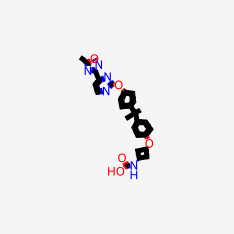 Cc1nc(-c2ccnc(Oc3ccc(C(C)(C)c4ccc(O[C@H]5C[C@H](NC(=O)O)C5)cc4)cc3)n2)no1